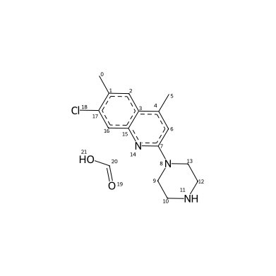 Cc1cc2c(C)cc(N3CCNCC3)nc2cc1Cl.O=CO